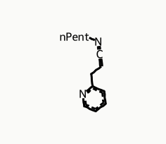 CCCCCN=C=CCc1ccccn1